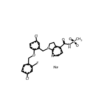 CS(=O)(=O)NC(=O)c1ccnc2c1CCN2Cc1cc(Cl)ccc1OCc1ccc(Cl)cc1F.[Na]